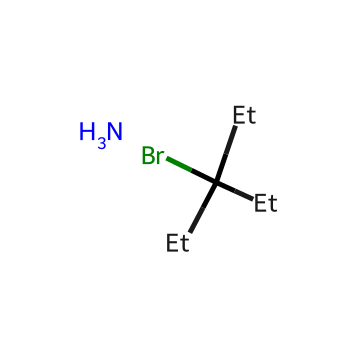 CCC(Br)(CC)CC.N